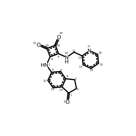 O=C1CCc2cc(Nc3c(NCc4ccccn4)c(=O)c3=O)ccc21